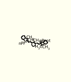 CCCCC[N+]1=C(/C=C/C2=C(C)C(=C/C=C3/N(CCC)c4ccccc4C3(C)C)/CCC2)C(C)(C)c2ccccc21